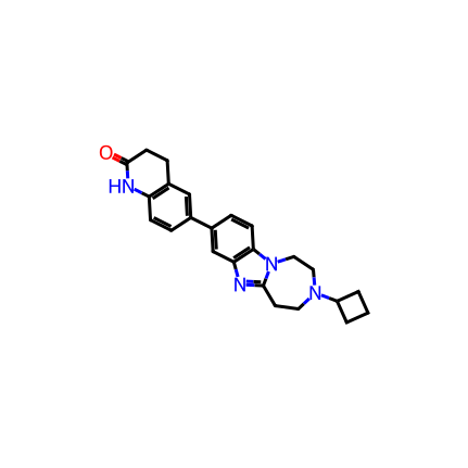 O=C1CCc2cc(-c3ccc4c(c3)nc3n4CCN(C4CCC4)CC3)ccc2N1